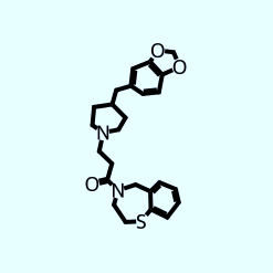 O=C(CCN1CCC(Cc2ccc3c(c2)OCO3)CC1)N1CCSc2ccccc2C1